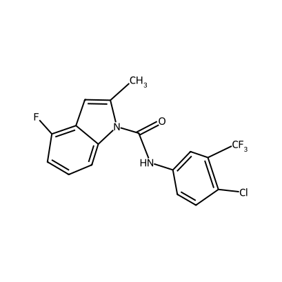 Cc1cc2c(F)cccc2n1C(=O)Nc1ccc(Cl)c(C(F)(F)F)c1